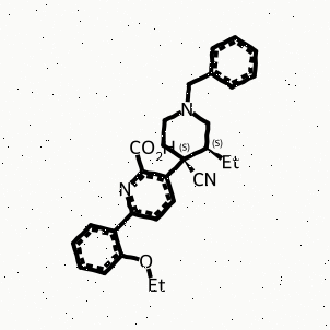 CCOc1ccccc1-c1ccc([C@]2(C#N)CCN(Cc3ccccc3)C[C@H]2CC)c(C(=O)O)n1